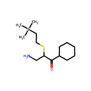 C[Si](C)(C)CCSC(CN)C(=O)C1CCCCC1